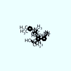 CC1=NN(c2ccc(C)c(C)c2)C(=O)/C1=N\Nc1cccc(-c2cccc(-c3nnn[n-]3)c2)c1O.C[N+](C)(C)CCO